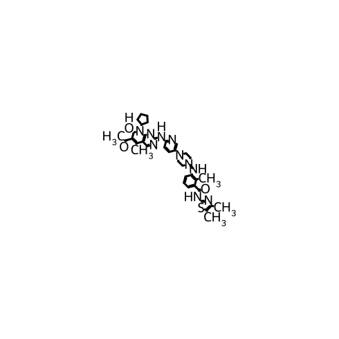 CC(=O)C1=C(C)c2cnc(Nc3ccc(N4CCN(Nc5cccc(C(=O)Nc6nc(C)c(C)s6)c5C)CC4)cn3)nc2N(C2CCCC2)C1O